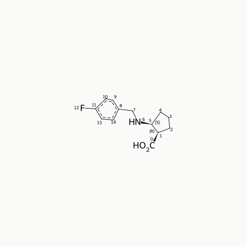 O=C(O)[C@@H]1CCC[C@@H]1NCc1ccc(F)cc1